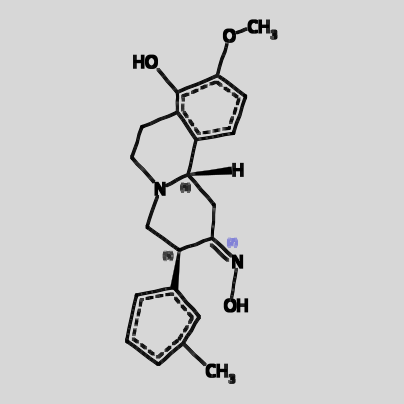 COc1ccc2c(c1O)CCN1C[C@H](c3cccc(C)c3)/C(=N\O)C[C@@H]21